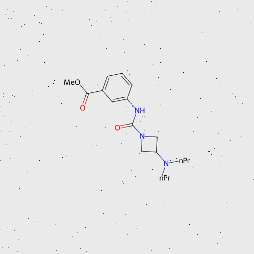 CCCN(CCC)C1CN(C(=O)Nc2cccc(C(=O)OC)c2)C1